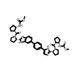 COC(=O)N[C@H]1CCC[C@@H]1C(=O)N1CCC[C@H]1c1ncc(-c2ccc(-c3ccc4nc([C@@H]5CCCN5C(=O)[C@H]5CCC[C@@H]5NC(=O)OC)[nH]c4c3)cc2)[nH]1